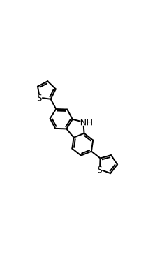 c1csc(-c2ccc3c(c2)[nH]c2cc(-c4cccs4)ccc23)c1